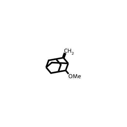 C=C1C2CC3CC(C2)C(OC)C1C3